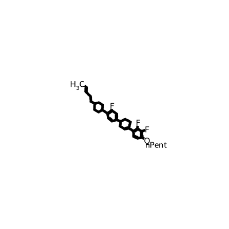 C/C=C/CCC1CCC(c2ccc(C3CC=C(c4ccc(OCCCCC)c(F)c4F)CC3)cc2F)CC1